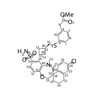 COC(=O)Cc1cccc(SC[C@@H]2CC[C@H]2CN2C[C@@]3(CCCc4cc(Cl)ccc43)COc3ccc(S(N)(=O)=O)cc32)c1